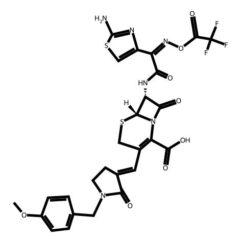 COc1ccc(CN2CC/C(=C\C3=C(C(=O)O)N4C(=O)[C@@H](NC(=O)/C(=N\OC(=O)C(F)(F)F)c5csc(N)n5)[C@H]4SC3)C2=O)cc1